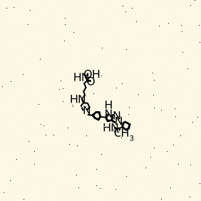 C[C@@H](Nc1ncnc2[nH]c(-c3ccc(CN4CCC(NCCCCC(=O)NO)CC4)cc3)cc12)c1ccccc1